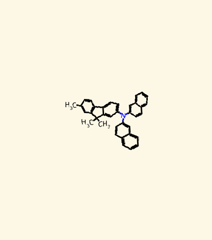 Cc1ccc2c(c1)C(C)(C)c1cc(N(c3ccc4ccccc4c3)c3ccc4ccccc4c3)ccc1-2